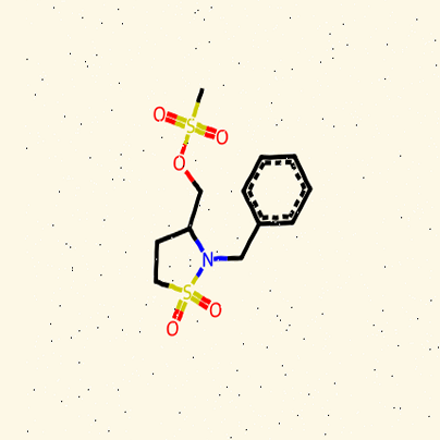 CS(=O)(=O)OCC1CCS(=O)(=O)N1Cc1ccccc1